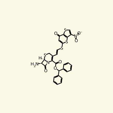 N[C@@H]1C(=O)N2C(C(=O)OC(c3ccccc3)c3ccccc3)=C(/C=C/Sc3cc(=O)c4scc([N+](=O)[O-])c4s3)CS[C@H]12